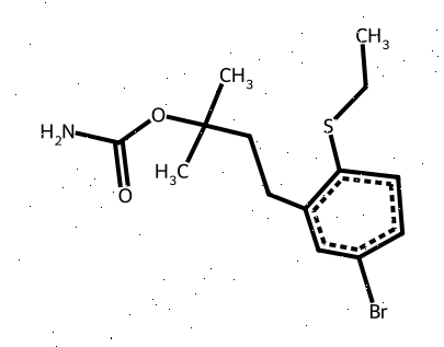 CCSc1ccc(Br)cc1CCC(C)(C)OC(N)=O